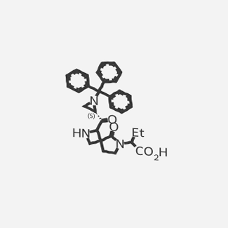 CCC(C(=O)O)N1CCC2(CNC2C(=O)[C@@H]2CN2C(c2ccccc2)(c2ccccc2)c2ccccc2)C1=O